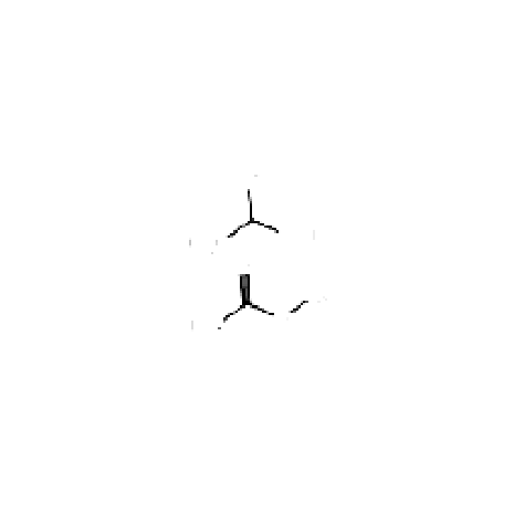 CC(C)(C)OC(N)=O.CCCC(C(=O)OCC)C(=O)OCC